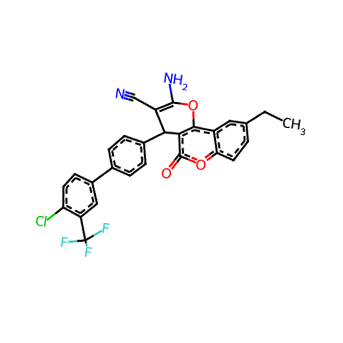 CCc1ccc2oc(=O)c3c(c2c1)OC(N)=C(C#N)C3c1ccc(-c2ccc(Cl)c(C(F)(F)F)c2)cc1